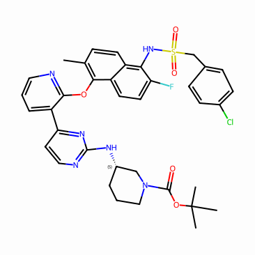 Cc1ccc2c(NS(=O)(=O)Cc3ccc(Cl)cc3)c(F)ccc2c1Oc1ncccc1-c1ccnc(N[C@H]2CCCN(C(=O)OC(C)(C)C)C2)n1